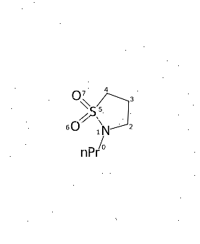 [CH2]CCN1CCCS1(=O)=O